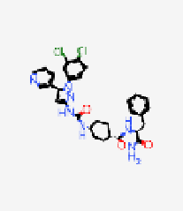 NC(=O)[C@H](Cc1ccccc1)NC(=O)[C@H]1CC[C@@H](NC(=O)Nc2cc(-c3cccnc3)n(-c3ccc(Cl)c(Cl)c3)n2)CC1